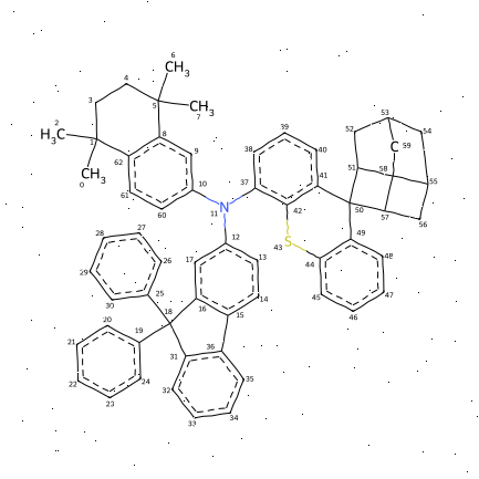 CC1(C)CCC(C)(C)c2cc(N(c3ccc4c(c3)C(c3ccccc3)(c3ccccc3)c3ccccc3-4)c3cccc4c3Sc3ccccc3C43C4CC5CC6CC3C64C5)ccc21